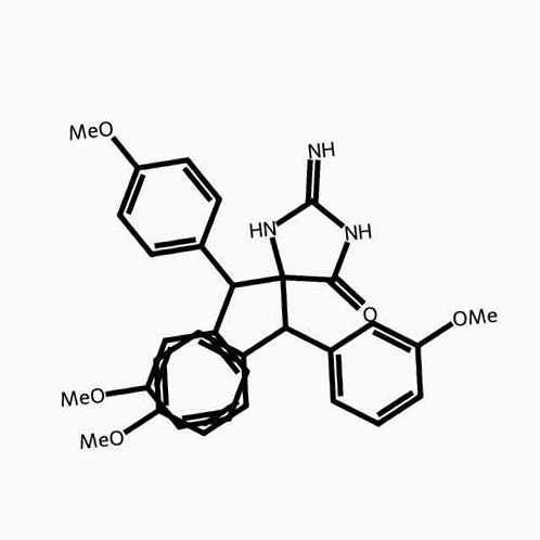 COc1ccc(C(c2cccc(OC)c2)C2(C(c3ccc(OC)cc3)c3cccc(OC)c3)NC(=N)NC2=O)cc1